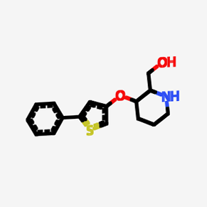 OCC1NCCCC1Oc1csc(-c2ccccc2)c1